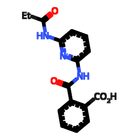 CCC(=O)Nc1cccc(NC(=O)c2ccccc2C(=O)O)n1